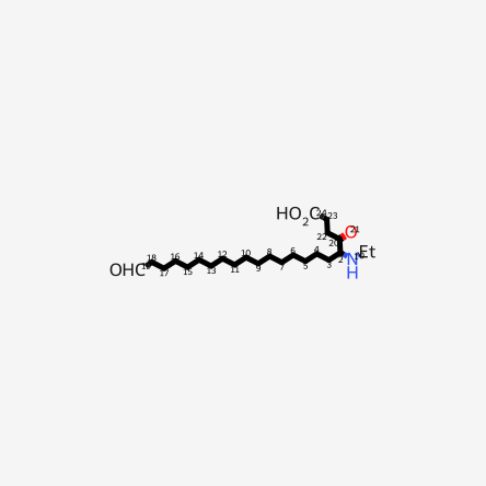 CCNC(CCCCCCCCCCCCCCCCC=O)C(=O)CCC(=O)O